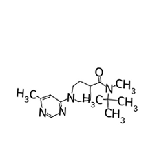 Cc1cc(N2CCC(C(=O)N(C)C(C)(C)C)CC2)ncn1